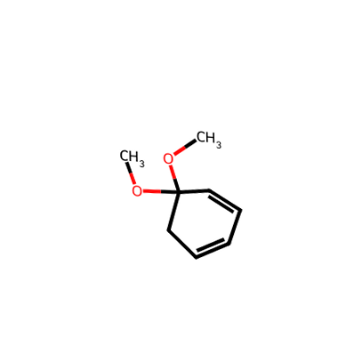 COC1(OC)C=CC=CC1